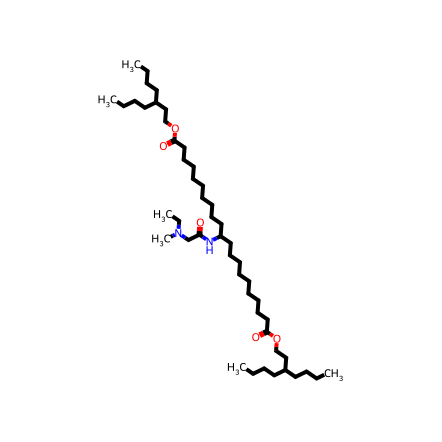 CCCCC(CCCC)CCOC(=O)CCCCCCCCCC(CCCCCCCCCC(=O)OCCC(CCCC)CCCC)NC(=O)CN(C)CC